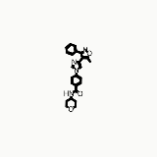 Cc1onc(-c2ccccc2)c1-c1cn(-c2ccc(C(=O)NC3CCOCC3)cc2)cn1